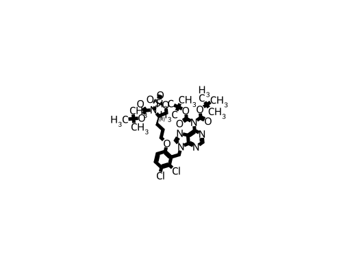 CC(C)(C)OC(=O)N(C(=O)OC(C)(C)C)c1ncnc2c1ncn2Cc1c(OCCC[C@@H]2COS(=O)(=O)N2C(=O)OC(C)(C)C)ccc(Cl)c1Cl